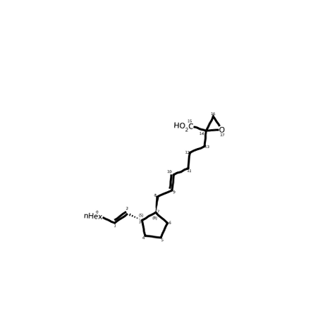 CCCCCCC=C[C@H]1CCC[C@@H]1CC=CCCCC1(C(=O)O)CO1